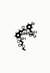 CCOC(=O)CC(=O)Nc1cccc2cc(C(=O)Nc3ccc(Br)cc3-c3noc(=O)[nH]3)[nH]c12